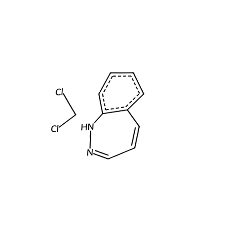 C1=Cc2ccccc2NN=C1.ClCCl